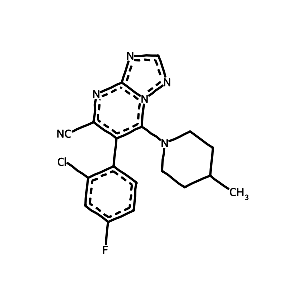 CC1CCN(c2c(-c3ccc(F)cc3Cl)c(C#N)nc3ncnn23)CC1